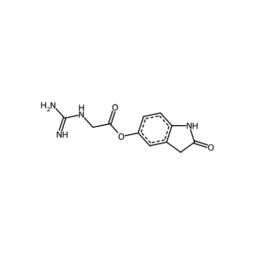 N=C(N)NCC(=O)Oc1ccc2c(c1)CC(=O)N2